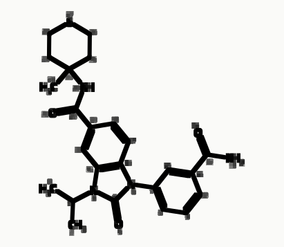 CC(C)n1c(=O)n(-c2cccc(C(N)=O)c2)c2ccc(C(=O)NC3(C)CCSCC3)cc21